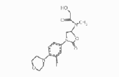 CN(C(=O)CO)C1CN(c2ccc(N3CCOCC3)c(F)c2)C(=O)O1